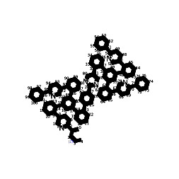 C=C(/C=C\C)c1ccc(-c2ccccc2-c2cc(-c3ccccc3-c3ccc(-c4ncc(-c5ccccc5-c5cc(-c6ccccc6-c6ccc(-c7ccccc7)nc6)cc(-c6ccccc6-c6ccc(-c7ccccc7)nc6)c5)cn4)cc3)cc(-c3ccccc3-c3ccc(-c4ccccc4)nc3)c2)cn1